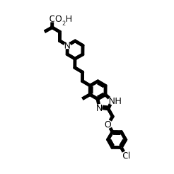 Cc1c(CCCC2CCCN(CCC(C)C(=O)O)C2)ccc2[nH]c(COc3ccc(Cl)cc3)nc12